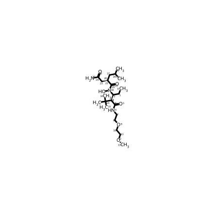 CCC([C@@H](C(=O)NCCOCCOC)C(C)(C)C)N(O)C(=O)[C@@H](CC(N)=O)CC(C)C